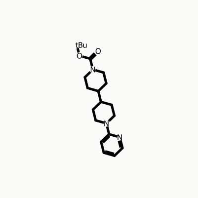 CC(C)(C)OC(=O)N1CCC(C2CCN(c3ccccn3)CC2)CC1